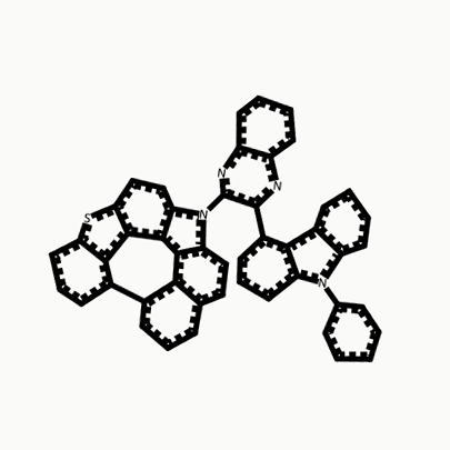 c1ccc(-n2c3ccccc3c3c(-c4nc5ccccc5nc4-n4c5ccc6cccc7c6c5c5c6c(ccc54)sc4cccc-7c46)cccc32)cc1